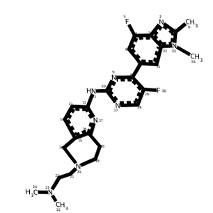 Cc1nc2c(F)cc(-c3nc(Nc4ccc5c(n4)CCN(CCN(C)C)C5)ncc3F)cc2n1C